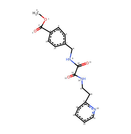 COC(=O)c1ccc(CNC(=O)C(=O)NCCc2ccccn2)cc1